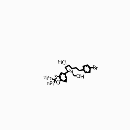 CCCC1(CCC)Oc2ccc(C3CCC(CCc4ccc(Br)cc4)N3CO)cc2S1.Cl